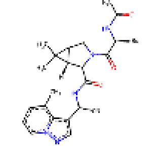 Cc1cccn2ncc(C(C#N)NC(=O)C3[C@H]4C(CN3C(=O)[C@@H](NC(=O)C(F)(F)F)C(C)(C)C)C4(C)C)c12